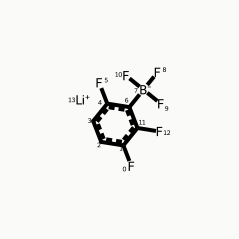 Fc1ccc(F)c([B-](F)(F)F)c1F.[Li+]